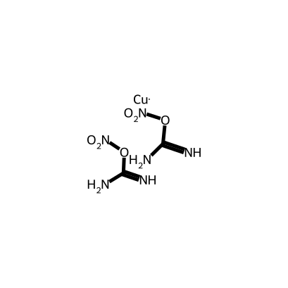 N=C(N)O[N+](=O)[O-].N=C(N)O[N+](=O)[O-].[Cu]